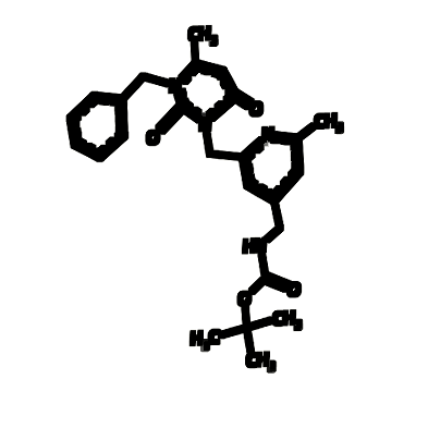 Cc1cc(CNC(=O)OC(C)(C)C)cc(Cn2c(=O)cc(C)n(Cc3ccccc3)c2=O)n1